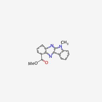 COC(=O)c1cccc2nc3c(nc12)c1ccccc1n3C